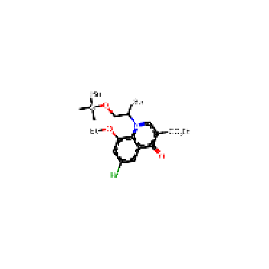 CCOC(=O)c1cn(C(CO[Si](C)(C)C(C)(C)C)C(C)(C)C)c2c(OCC)cc(Br)cc2c1=O